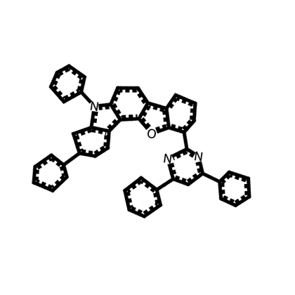 c1ccc(-c2ccc3c4c5oc6c(-c7nc(-c8ccccc8)cc(-c8ccccc8)n7)cccc6c5ccc4n(-c4ccccc4)c3c2)cc1